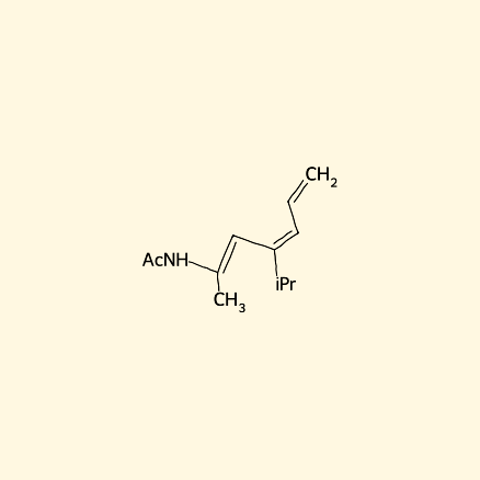 C=C/C=C(\C=C(/C)NC(C)=O)C(C)C